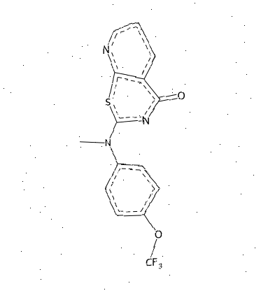 CN(c1ccc(OC(F)(F)F)cc1)c1nc(=O)c2cccnc2s1